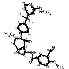 CNc1cc(C(F)(F)c2ccc(N3C(=O)c4c(NC(=O)c5ccc(OC)c(C#N)c5)cnn4C[C@@H]3C)cc2)ccn1